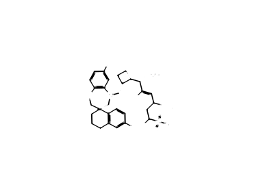 CO[C@H](/C(C)=C/C(C)CC(C)S(N)(=O)=O)[C@@H]1CC[C@H]1CN1C[C@@]2(CCCc3cc(Cl)ccc32)COc2ccc(C(=O)O)cc21